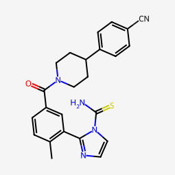 Cc1ccc(C(=O)N2CCC(c3ccc(C#N)cc3)CC2)cc1-c1nccn1C(N)=S